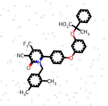 Cc1ccc(Cn2c(-c3ccc(Oc4cccc(OC(C)(C(=O)O)c5ccccc5)c4)cc3)cc(C(F)(F)F)c(C#N)c2=O)c(C)c1